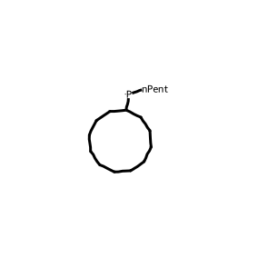 CCCCC[P]C1CCCCCCCCCCC1